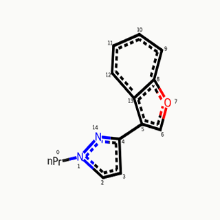 CCCn1ccc(-c2coc3ccccc23)n1